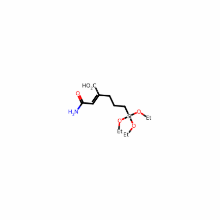 CCO[Si](CCC/C(=C/C(N)=O)C(=O)O)(OCC)OCC